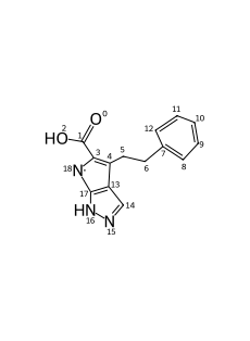 O=C(O)C1=C(CCc2ccccc2)c2cn[nH]c2[N]1